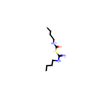 CCCCNC(=N)SC(=O)NCCCC